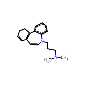 CN(C)CCCN1C=CC2=C(CCC=C2)c2ccccc21